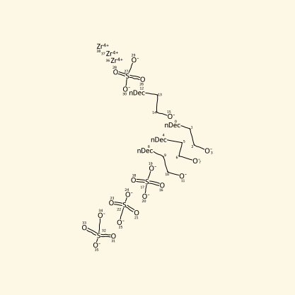 CCCCCCCCCCCC[O-].CCCCCCCCCCCC[O-].CCCCCCCCCCCC[O-].CCCCCCCCCCCC[O-].O=S(=O)([O-])[O-].O=S(=O)([O-])[O-].O=S(=O)([O-])[O-].O=S(=O)([O-])[O-].[Zr+4].[Zr+4].[Zr+4]